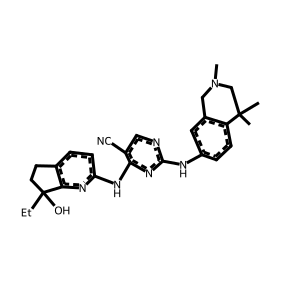 CCC1(O)CCc2ccc(Nc3nc(Nc4ccc5c(c4)CN(C)CC5(C)C)ncc3C#N)nc21